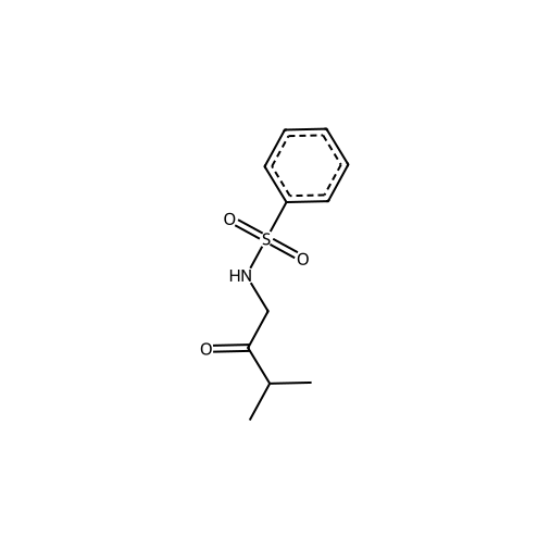 CC(C)C(=O)CNS(=O)(=O)c1ccccc1